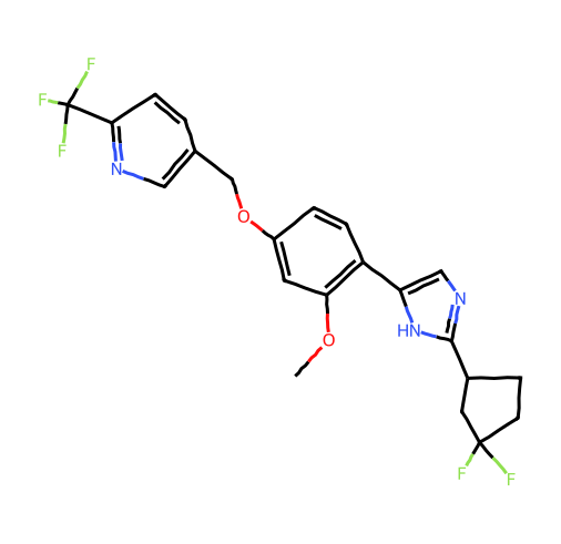 COc1cc(OCc2ccc(C(F)(F)F)nc2)ccc1-c1cnc(C2CCC(F)(F)C2)[nH]1